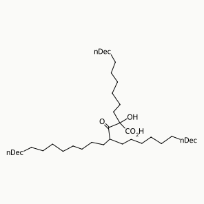 CCCCCCCCCCCCCCCCCCC(CCCCCCCCCCCCCCCC)C(=O)C(O)(CCCCCCCCCCCCCCCC)C(=O)O